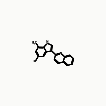 Cc1cc(Cl)cc2c(-c3ccc4ccccc4n3)c[nH]c12